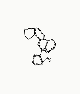 O=Cc1cccnc1-c1cc2c3c(ccc2c2ccccc12)CCCC3